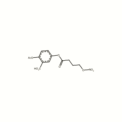 CC(=O)Oc1ccc(OC(=O)CCCO[N+](=O)[O-])cc1S(=O)(=O)O